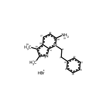 Br.Cc1nc2n(CCc3ccccc3)c(N)ccc-2c1C